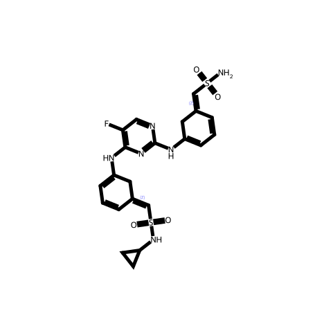 NS(=O)(=O)/C=C1\C=CC=C(Nc2ncc(F)c(NC3=CC=C/C(=C\S(=O)(=O)NC4CC4)C3)n2)C1